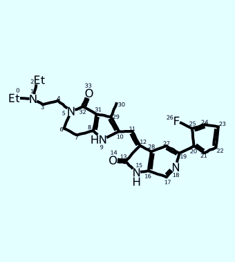 CCN(CC)CCN1CCc2[nH]c(C=C3C(=O)Nc4cnc(-c5ccccc5F)cc43)c(C)c2C1=O